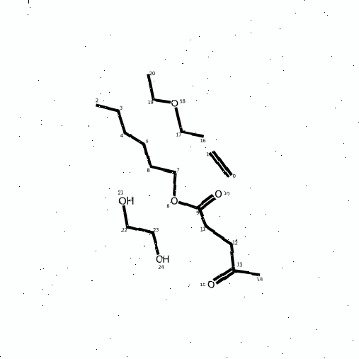 C=C.CCCCCCOC(=O)CCC(C)=O.CCOCC.OCCO